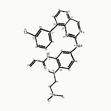 C=CC(=O)Nc1cc(Nc2ncc3nccc(-c4cccc(Cl)c4)c3n2)ccc1N(C)CCN(C)C